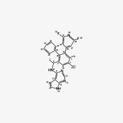 Cc1c(Cl)cc(C(C)Nc2ncnc3[nH]cnc23)c(-c2ccccc2)c1-c1cc(F)nc(F)c1